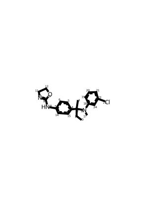 CCC(C)(c1ccc(NC2=NCCO2)cc1)N(C)c1cccc(Cl)c1